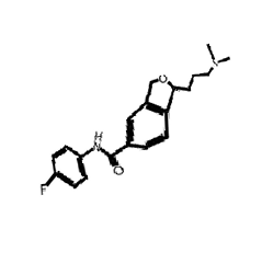 CN(C)CCCC1OCc2cc(C(=O)Nc3ccc(F)cc3)ccc21